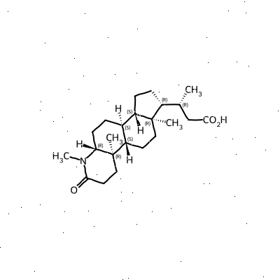 C[C@H](CC(=O)O)[C@H]1CC[C@H]2[C@@H]3CC[C@H]4N(C)C(=O)CC[C@]4(C)[C@H]3CC[C@]12C